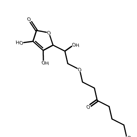 CCCCCCCCCCCCCC(=O)CCOCC(O)C1OC(=O)C(O)=C1O